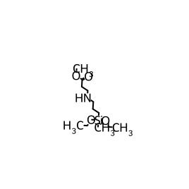 CCO[Si](C)(CCCNCCC(=O)OC)OCC